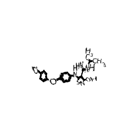 CC(C)NC(=N)c1c(O)nsc1Nc1ccc(Oc2ccc(Cl)cc2)cc1